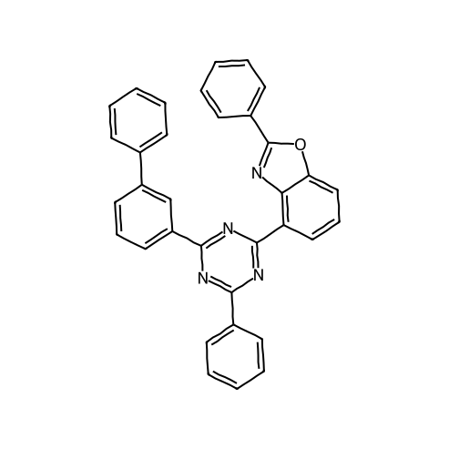 c1ccc(-c2cccc(-c3nc(-c4ccccc4)nc(-c4cccc5oc(-c6ccccc6)nc45)n3)c2)cc1